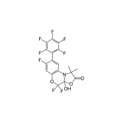 CC1(C)C(=O)OC2(O)N1c1cc(-c3c(F)c(F)c(F)c(F)c3F)c(F)cc1OC2(F)F